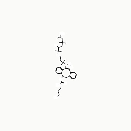 CC(C)CCCNC(=O)OC1Cc2ccccc2-c2nnn(C(C)(C)CCOC(C)(C)C(=O)CC(C)(C)CC(C)C(C)(C)C)c2-c2ccccc21